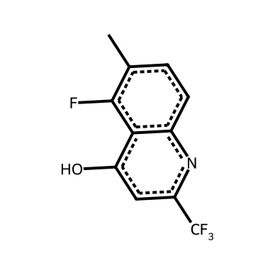 Cc1ccc2nc(C(F)(F)F)cc(O)c2c1F